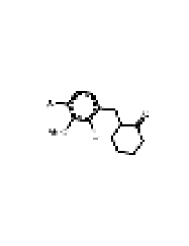 COc1c(C)ccc(CC2CCCCC2=O)c1O